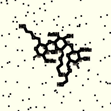 CC(=O)NC1C(O)[C@H](O[C@@H]2OC(COCCO)[C@@H](C)[C@H](O)C2NC(C)=O)[C@H](COCCO)O[C@H]1O[C@@H]1C(COCCO)O[C@@H](C)C(NC(C)=O)[C@H]1O